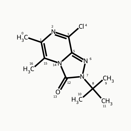 Cc1nc(Cl)c2nn(C(C)(C)C)c(=O)n2c1C